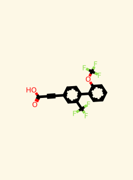 O=C(O)C#Cc1ccc(-c2ccccc2OC(F)(F)F)c(C(F)(F)F)c1